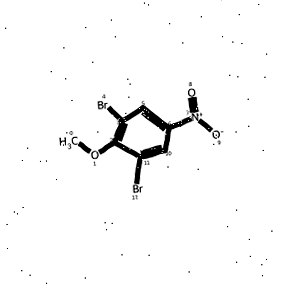 COc1c(Br)cc([N+](=O)[O-])cc1Br